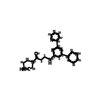 O=C(CCNc1cc(-c2cccnc2)nc(-c2ccccn2)n1)N1CCNCC1